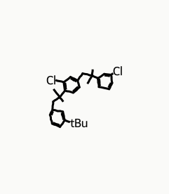 CC(C)(C)c1cccc(CC(C)(C)c2ccc(CC(C)(C)c3cccc(Cl)c3)cc2Cl)c1